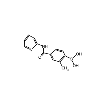 Cc1cc(C(=O)Nc2ccccn2)ccc1B(O)O